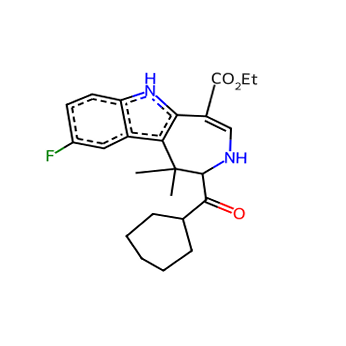 CCOC(=O)C1=CNC(C(=O)C2CCCCC2)C(C)(C)c2c1[nH]c1ccc(F)cc21